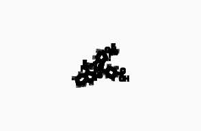 O=C(O)c1ccc(S(=O)(=O)N(Cc2ccc(OC(F)(F)F)cc2)c2ncc3ccccc3c2C(F)(F)F)cc1